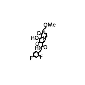 COCCn1ccn2cc(C(=O)NCc3ccc(F)cc3F)c(=O)c(O)c2c1=O